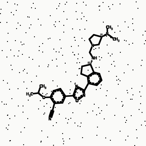 CC(C)Oc1ccc(-c2nc(-c3cccc4c3CC[C@@H]4NCN3CC[C@@H](N(C)C)C3)no2)cc1C#N